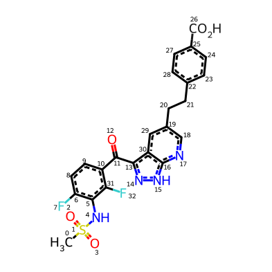 CS(=O)(=O)Nc1c(F)ccc(C(=O)c2n[nH]c3ncc(CCc4ccc(C(=O)O)cc4)cc23)c1F